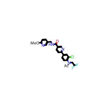 COc1ccc(CNC(=O)c2ccc(-c3ccc(N(CC(F)F)C(C)=O)c(Cl)c3)nc2)cn1